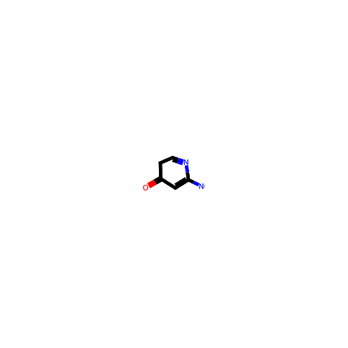 [N]C1=CC(=O)CC=N1